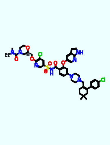 CCN(C)C(=O)N1CCO[C@H](COc2ncc(S(=O)(=O)NC(=O)c3ccc(N4CCN(CC5=C(c6ccc(Cl)cc6)CC(C)(C)CC5)CC4)cc3Oc3cnc4[nH]ccc4c3)cc2Cl)C1